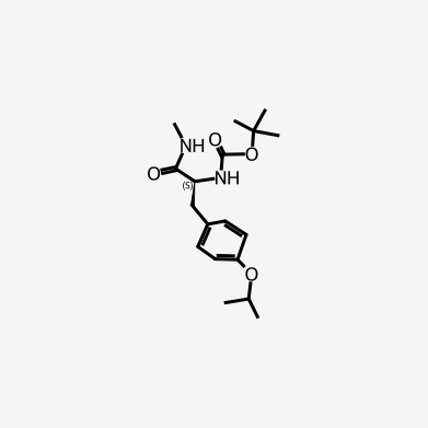 CNC(=O)[C@H](Cc1ccc(OC(C)C)cc1)NC(=O)OC(C)(C)C